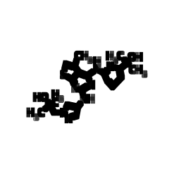 Cc1csc2nc(Nc3cnn(CC(C)(C)O)c3)nc(Nc3cccc(C(C)(C)O)n3)c12